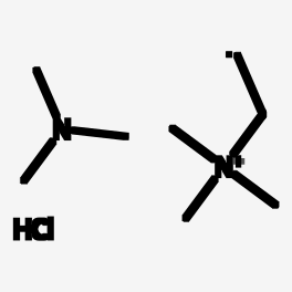 CN(C)C.Cl.[CH2]C[N+](C)(C)C